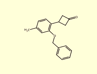 Cc1ccc(C2CC(=O)C2)c(OCc2ccccc2)c1